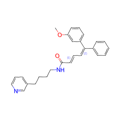 COc1cccc(/C(=C\C=C\C(=O)NCCCCc2cccnc2)c2ccccc2)c1